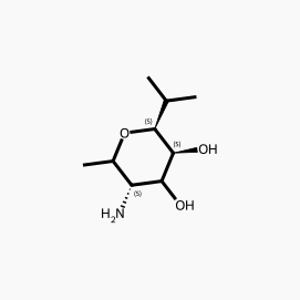 CC1O[C@@H](C(C)C)[C@@H](O)C(O)[C@@H]1N